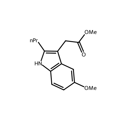 CCCc1[nH]c2ccc(OC)cc2c1CC(=O)OC